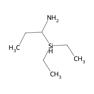 CCC(N)[SiH](CC)CC